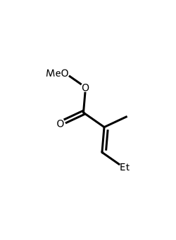 CC/C=C(\C)C(=O)OOC